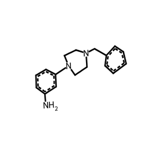 Nc1cccc(N2CCN(Cc3ccccc3)CC2)c1